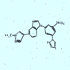 CC(=O)Nc1cc(-n2cncn2)cc(-n2cnc3cc(-c4cnn(C)c4)ccc32)c1